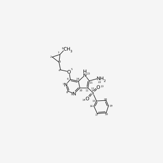 CC1CC1COc1ncnc2c(S(=O)(=O)c3ccccc3)c(N)[nH]c12